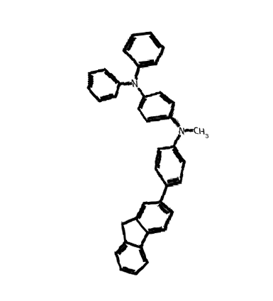 CN(c1ccc(-c2ccc3c(c2)Cc2ccccc2-3)cc1)c1ccc(N(c2ccccc2)c2ccccc2)cc1